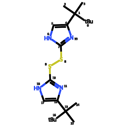 CC(C)(C)C(C)(C)c1c[nH]c(SSc2nc(C(C)(C)C(C)(C)C)c[nH]2)n1